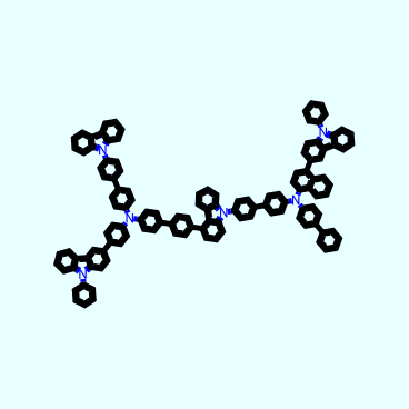 c1ccc(-c2ccc(N(c3ccc(-c4ccc(-n5c6ccccc6c6c(-c7ccc(-c8ccc(N(c9ccc(-c%10ccc(-n%11c%12ccccc%12c%12ccccc%12%11)cc%10)cc9)c9ccc(-c%10ccc%11c(c%10)c%10ccccc%10n%11-c%10ccccc%10)cc9)cc8)cc7)cccc65)cc4)cc3)c3ccc(-c4ccc5c(c4)c4ccccc4n5-c4ccccc4)c4ccccc34)cc2)cc1